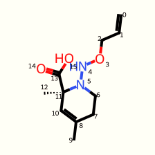 C=CCONN1CCC(C)=C[C@@]1(C)C(=O)O